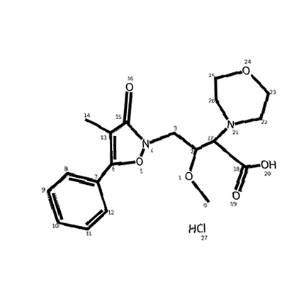 COC(Cn1oc(-c2ccccc2)c(C)c1=O)C(C(=O)O)N1CCOCC1.Cl